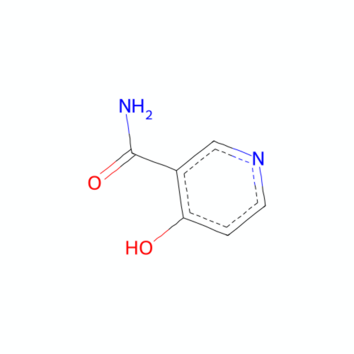 NC(=O)c1cnccc1O